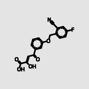 N#Cc1cc(F)ccc1COc1cccc(C(=O)C=C(O)C(=O)O)c1